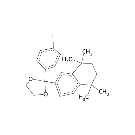 CC1(C)CCC(C)(C)c2cc(C3(c4ccc(I)cc4)OCCO3)ccc21